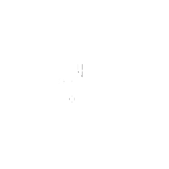 Cc1ccc2c3c(c(=O)[nH]c2c1)OCCC3